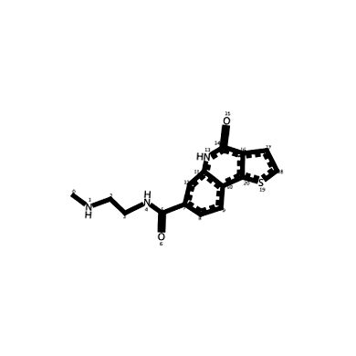 CNCCNC(=O)c1ccc2c(c1)[nH]c(=O)c1ccsc12